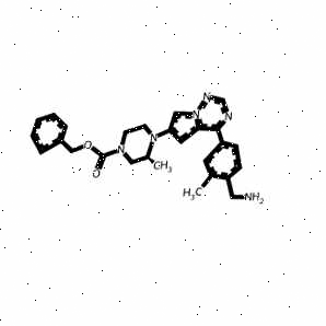 Cc1cc(-c2ncnn3cc(N4CCN(C(=O)OCc5ccccc5)C[C@@H]4C)cc23)ccc1CN